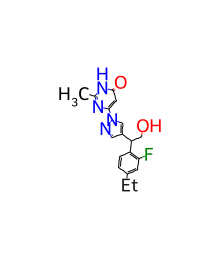 CCc1ccc(C(CO)c2cnn(-c3cc(=O)[nH]c(C)n3)c2)c(F)c1